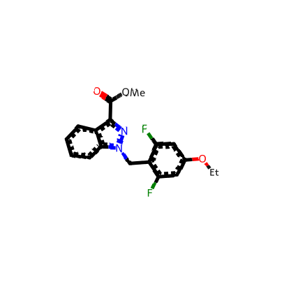 CCOc1cc(F)c(Cn2nc(C(=O)OC)c3ccccc32)c(F)c1